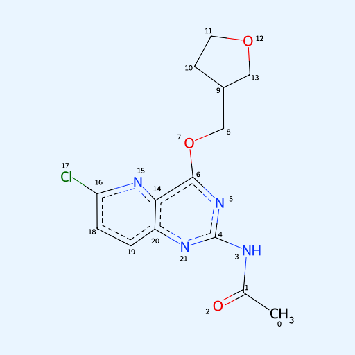 CC(=O)Nc1nc(OCC2CCOC2)c2nc(Cl)ccc2n1